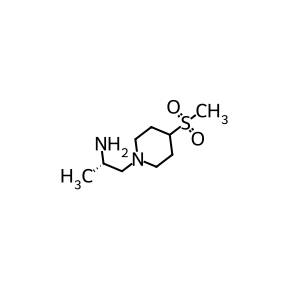 C[C@H](N)CN1CCC(S(C)(=O)=O)CC1